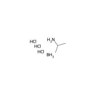 B.CC(C)N.Cl.Cl.Cl